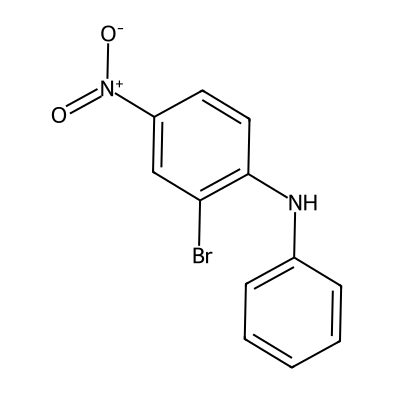 O=[N+]([O-])c1ccc(Nc2ccccc2)c(Br)c1